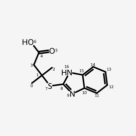 CC(C)(CC(=O)O)Sc1nc2ccccc2[nH]1